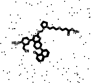 CC(C)(C)OC(=O)CCOCCCN1CCC[C@H]1COc1nc2c(c(N3CCN(C(=O)O)C(CC#N)C3)n1)CCN(c1cccc3cccc(Cl)c13)C2